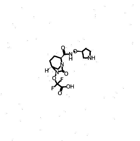 O=C(NO[C@H]1CCNC1)[C@@H]1CC[C@H]2CN1C(=O)N2OC(F)(F)C(=O)O